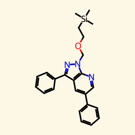 C[Si](C)(C)CCOCn1nc(-c2ccccc2)c2cc(-c3ccccc3)cnc21